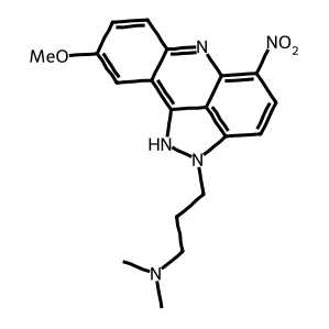 COc1ccc2nc3c([N+](=O)[O-])ccc4c3c(c2c1)NN4CCCN(C)C